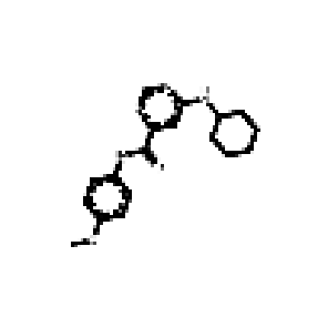 COc1ccc(NC(=O)c2cc(NC3CCCCC3)ncn2)cc1